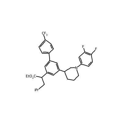 CCOC(=O)C(CC(C)C)c1cc(-c2ccc(C(F)(F)F)cc2)cc(C2CCCN(c3ccc(F)c(F)c3)C2)c1